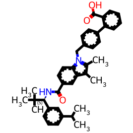 Cc1c(C)n(Cc2ccc(-c3ccccc3C(=O)O)cc2)c2ccc(C(=O)N[C@H](c3cccc(C(C)C)c3)C(C)(C)C)cc12